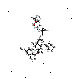 C#Cc1cccc2cc(O)cc(-c3c(F)cc4c(N5CC6CCC(C5)N6)nc(OCC5(CN6CC7CCC6CN7C(C)=O)CC5)nc4c3F)c12